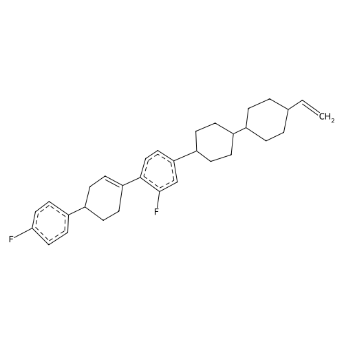 C=CC1CCC(C2CCC(c3ccc(C4=CCC(c5ccc(F)cc5)CC4)c(F)c3)CC2)CC1